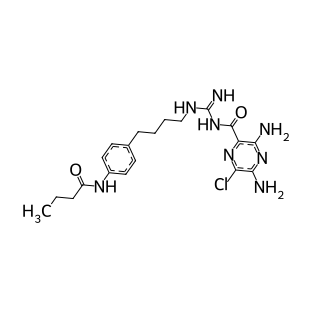 CCCC(=O)Nc1ccc(CCCCNC(=N)NC(=O)c2nc(Cl)c(N)nc2N)cc1